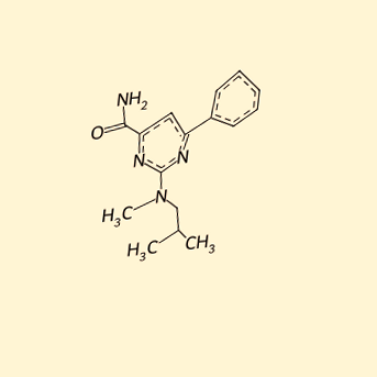 CC(C)CN(C)c1nc(C(N)=O)cc(-c2ccccc2)n1